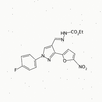 CCOC(=O)NN=Cc1cn(-c2ccc(F)cc2)nc1-c1ccc([N+](=O)[O-])o1